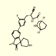 CN1C(=O)C2(CCNCC2)c2cc(-c3ccc(C[C@@H](C#N)NC(=O)[C@H]4N[C@@H]5CC[C@H]4C5)c(F)c3)ccc21